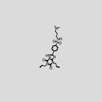 C=CCn1c(=O)c2[nH]c(-c3ccc(S(=O)(=O)NCCCN(C)C)cc3)nc2n(CC=C)c1=O